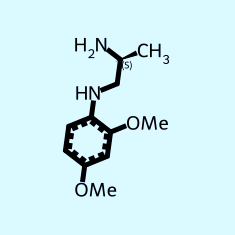 COc1ccc(NC[C@H](C)N)c(OC)c1